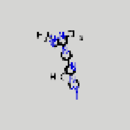 Cc1cc(N2CCC(c3cc(C)c(N4CCNCC4)cn3)CC2)c2cnn(C)c2n1